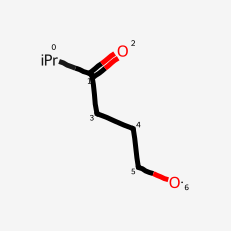 CC(C)C(=O)CCC[O]